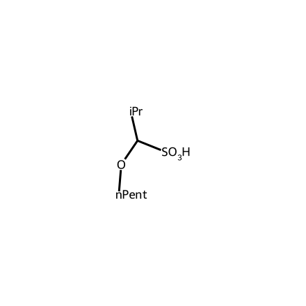 CCCCCOC(C(C)C)S(=O)(=O)O